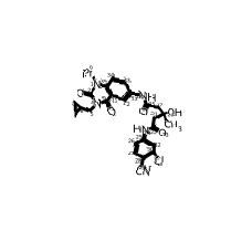 CC(C)n1c(=O)n(CC2CC2)c(=O)c2cc(NC(=O)CC(C)(O)CC(=O)Nc3ccc(C#N)c(Cl)c3)ccc21